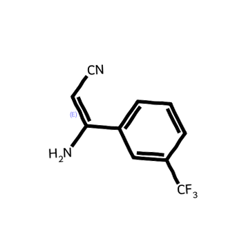 N#C/C=C(/N)c1cccc(C(F)(F)F)c1